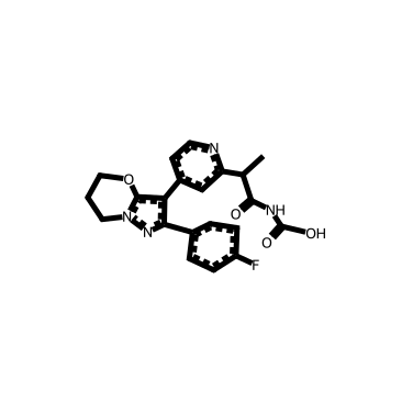 CC(C(=O)NC(=O)O)c1cc(-c2c(-c3ccc(F)cc3)nn3c2OCCC3)ccn1